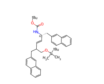 CC(C)(C)OC(=O)N[C@@H](C=CC(CO[Si](C)(C)C(C)(C)C)Cc1ccc2ccccc2c1)Cc1ccc2ccccc2c1